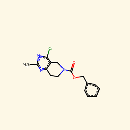 Bc1nc(Cl)c2c(n1)CCN(C(=O)OCc1ccccc1)C2